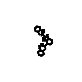 c1ccc2c(c1)CN(c1nc3c(C4=NSc5ccccc5C4)cccc3s1)O2